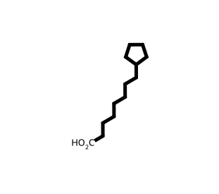 O=C(O)CCCCCCCC1CCCC1